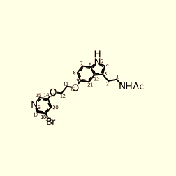 CC(=O)NCCc1c[nH]c2ccc(OCCOc3cncc(Br)c3)cc12